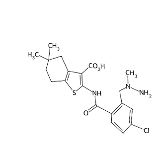 CN(N)Cc1cc(Cl)ccc1C(=O)Nc1sc2c(c1C(=O)O)CC(C)(C)CC2